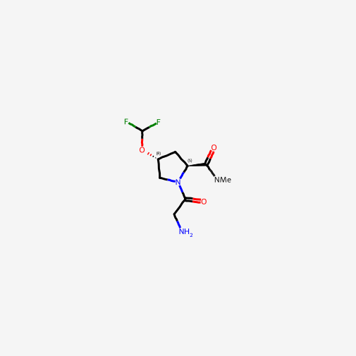 CNC(=O)[C@@H]1C[C@@H](OC(F)F)CN1C(=O)CN